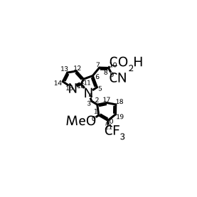 COc1c(Cn2cc(/C=C(\C#N)C(=O)O)c3cccnc32)cccc1C(F)(F)F